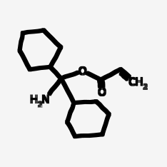 C=CC(=O)OC(N)(C1CCCCC1)C1CCCCC1